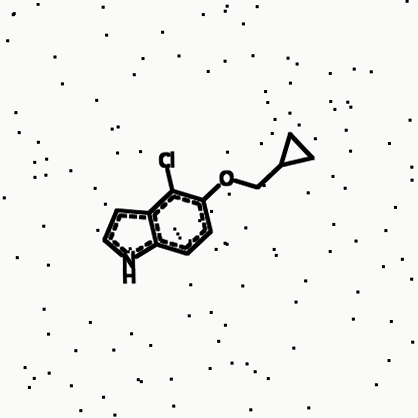 Clc1c(OCC2CC2)ccc2[nH]ccc12